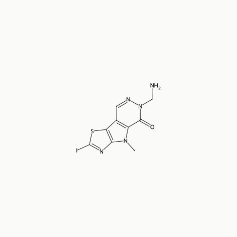 Cn1c2nc(I)sc2c2cnn(CN)c(=O)c21